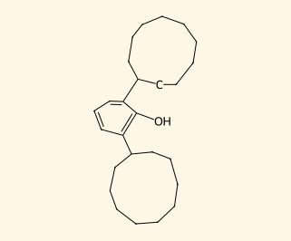 Oc1c(C2CCCCCCCCC2)cccc1C1CCCCCCCCC1